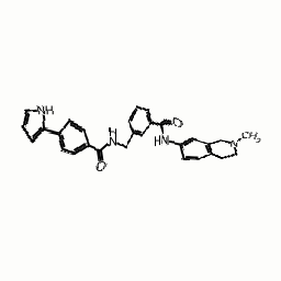 CN1CCc2ccc(NC(=O)c3cccc(CNC(=O)c4ccc(-c5ccc[nH]5)cc4)c3)cc2C1